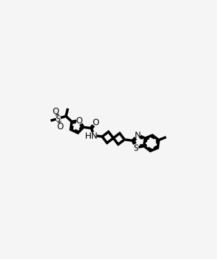 Cc1ccc2sc(C3CC4(CC(NC(=O)c5ccc(C(C)S(C)(=O)=O)o5)C4)C3)nc2c1